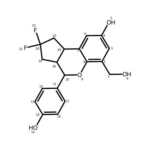 OCc1cc(O)cc2c1OC(c1ccc(O)cc1)C1CC(F)(F)CC21